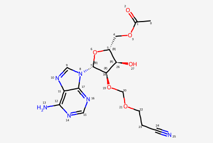 CC(=O)OC[C@H]1O[C@@H](n2cnc3c(N)ncnc32)[C@H](OCOCCC#N)[C@@H]1O